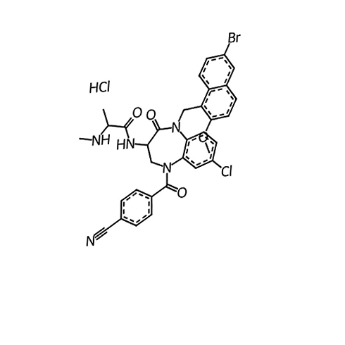 CNC(C)C(=O)NC1CN(C(=O)c2ccc(C#N)cc2)c2cc(Cl)ccc2N(Cc2c(OC)ccc3cc(Br)ccc23)C1=O.Cl